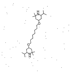 CC(C)C1CC(OCCCCCCCCOC2CC(C(C)C)NC(C)(C)C2)CC(C)(C)N1